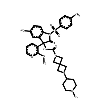 CCOc1ncccc1C1(NC(=O)N2CC3(C2)CN(C2CCN(C(C)C)CC2)C3)C(=O)N(S(=O)(=O)c2ccc(C)cc2)c2ccc(C#N)cc21